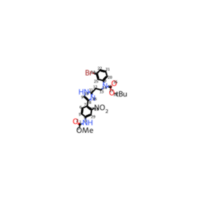 COC(=O)Nc1ccc(-c2c[nH]c(CCN(C(=O)OC(C)(C)C)c3cccc(Br)c3)n2)c([N+](=O)[O-])c1